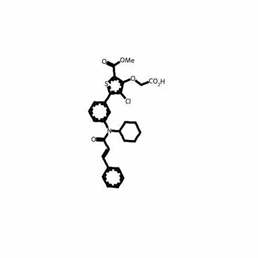 COC(=O)c1sc(-c2cccc(N(C(=O)C=Cc3ccccc3)C3CCCCC3)c2)c(Cl)c1OCC(=O)O